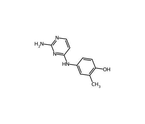 Cc1cc(Nc2ccnc(N)n2)ccc1O